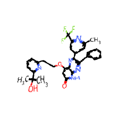 Cc1cc(-c2nc3c(OCCc4cccc(C(C)(C)O)n4)cc(=O)[nH]c3nc2-c2ccccc2)cc(C(F)(F)F)n1